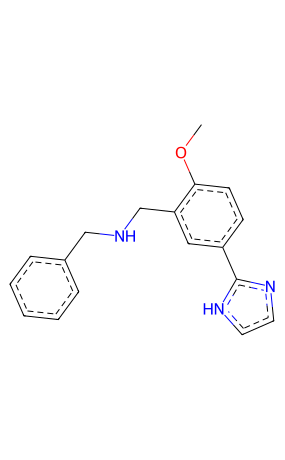 COc1ccc(-c2ncc[nH]2)cc1CNCc1ccccc1